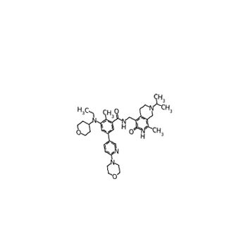 CCN(c1cc(-c2ccc(N3CCOCC3)nc2)cc(C(=O)NCc2c3c(c(C)[nH]c2=O)CN(C(C)C)CC3)c1C)C1CCOCC1